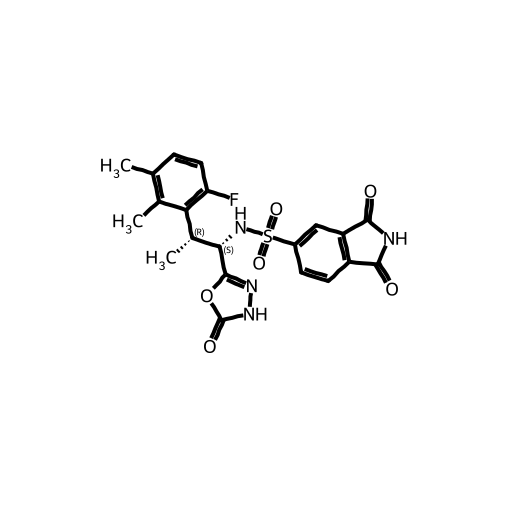 Cc1ccc(F)c([C@@H](C)[C@H](NS(=O)(=O)c2ccc3c(c2)C(=O)NC3=O)c2n[nH]c(=O)o2)c1C